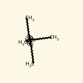 CCCCCCCCCCCCCOC(=O)CC(CC(=O)OCCCCCCCCCCCCC)(OC(C)=O)C(=O)OCCCCCCCCCCCCC